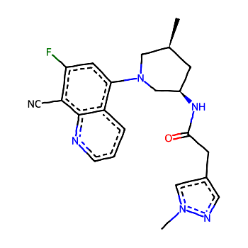 C[C@H]1C[C@@H](NC(=O)Cc2cnn(C)c2)CN(c2cc(F)c(C#N)c3ncccc23)C1